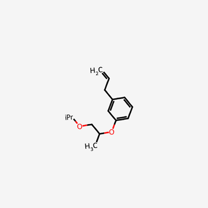 C=CCc1cccc(OC(C)COC(C)C)c1